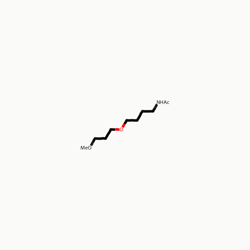 COCCCOCCCCNC(C)=O